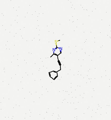 CSc1ncc(C#CCc2ccccc2)c(C)n1